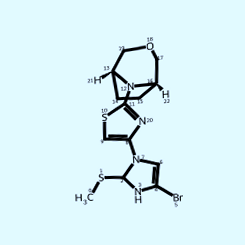 CSC1NC(Br)=CN1c1csc(N2[C@@H]3CC[C@H]2COC3)n1